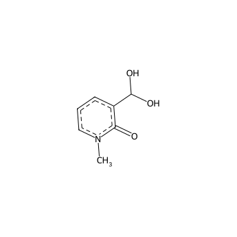 Cn1cccc(C(O)O)c1=O